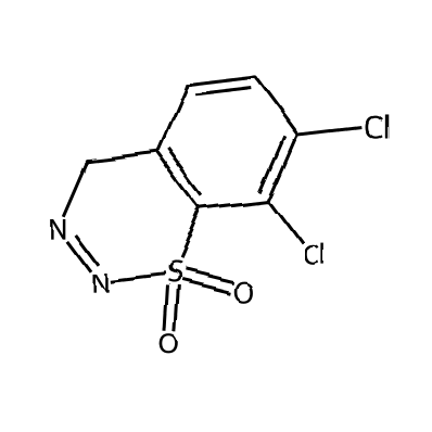 O=S1(=O)N=NCc2ccc(Cl)c(Cl)c21